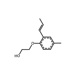 CC=Cc1cc(C)ccc1OCCO